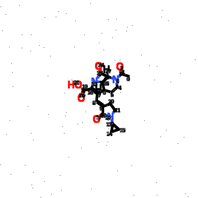 CC(=O)N1CCC2C(/C=C3\CCN(C4CC4)C3=O)=C(C(=O)O)N3C(=O)[C@@H]1[C@@H]23